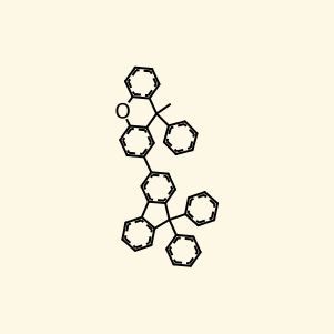 CC1(c2ccccc2)c2ccccc2Oc2ccc(-c3ccc4c(c3)-c3ccccc3C4(c3ccccc3)c3ccccc3)cc21